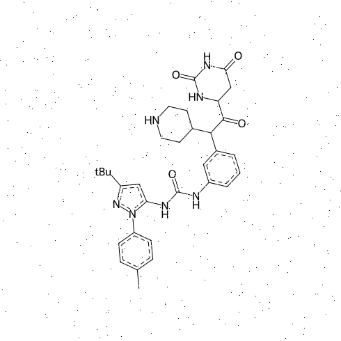 Cc1ccc(-n2nc(C(C)(C)C)cc2NC(=O)Nc2cccc(C(C(=O)C3CC(=O)NC(=O)N3)C3CCNCC3)c2)cc1